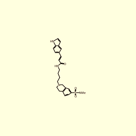 CNS(=O)(=O)c1ccc2c(c1)CN(CCCCNC(=O)C=Cc1ccc3[nH]ccc3c1)CC2